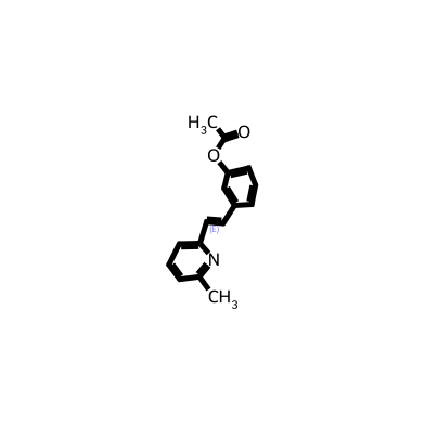 CC(=O)Oc1cccc(/C=C/c2cccc(C)n2)c1